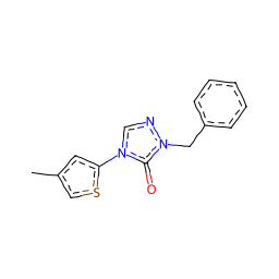 Cc1csc(-n2cnn(Cc3ccccc3)c2=O)c1